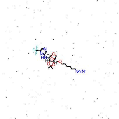 CC1(C)O[C@@H]2[C@@H](Nc3cncc(C(F)(F)F)n3)[C@H]3OC[C@](COCCCCCCN=[N+]=[N-])(O3)[C@@H]2O1